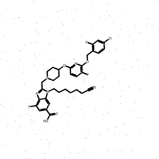 N#CCCCCCCn1c(CN2CCC(Oc3ccc(F)c(OCc4ccc(Cl)cc4F)n3)CC2)nc2c(F)cc(C(=O)O)cc21